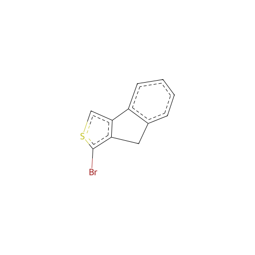 Brc1scc2c1Cc1ccccc1-2